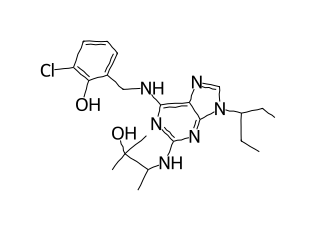 CCC(CC)n1cnc2c(NCc3cccc(Cl)c3O)nc(NC(C)C(C)(C)O)nc21